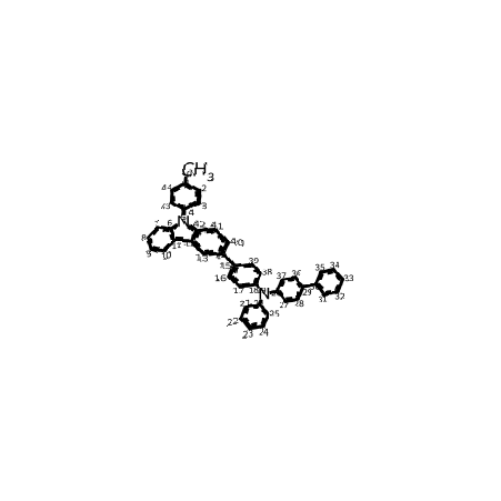 Cc1ccc(-n2c3ccccc3c3cc(-c4ccc(N(c5ccccc5)c5ccc(-c6ccccc6)cc5)cc4)ccc32)cc1